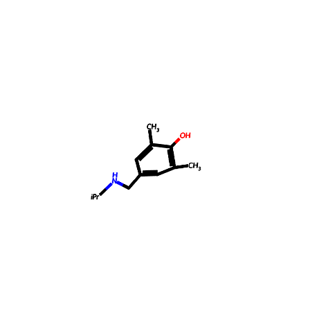 Cc1cc(CNC(C)C)cc(C)c1O